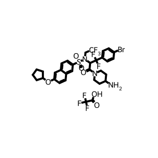 NC1CCN(C(=O)C(N(CC(F)(F)F)S(=O)(=O)c2ccc3cc(OC4CCCC4)ccc3c2)C(F)(F)c2ccc(Br)cc2)CC1.O=C(O)C(F)(F)F